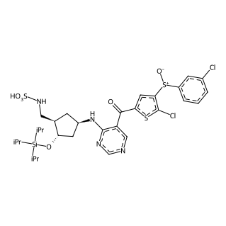 CC(C)[Si](O[C@H]1C[C@H](Nc2ncncc2C(=O)c2cc([S+]([O-])c3cccc(Cl)c3)c(Cl)s2)C[C@@H]1CNS(=O)(=O)O)(C(C)C)C(C)C